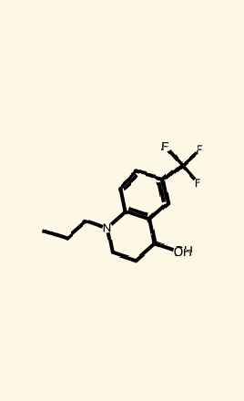 CCCN1CCC(O)c2cc(C(F)(F)F)ccc21